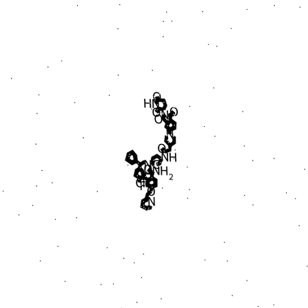 NC(=O)c1ccc(OCc2ccccn2)c(F)c1-c1cc(C(CNC2CCC(NC(=O)CC3CCN(c4ccc5c(c4)C(=O)N(C4CCC(=O)NC4=O)C5=O)CC3)CC2)c2ccccc2)ccc1Cl